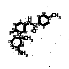 Cc1ccc([S+]([O-])Nc2ccc(F)c(C3(C)CCSC(N)=N3)c2)cc1